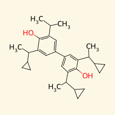 CC(C)c1cc(-c2cc(C(C)C3CC3)c(O)c(C(C)C3CC3)c2)cc(C(C)C2CC2)c1O